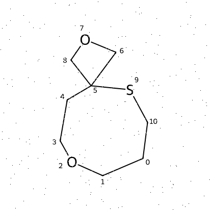 C1COCCC2(COC2)SC1